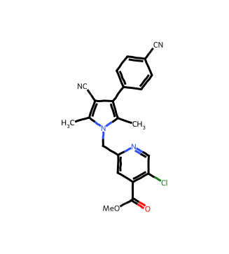 COC(=O)c1cc(Cn2c(C)c(C#N)c(-c3ccc(C#N)cc3)c2C)ncc1Cl